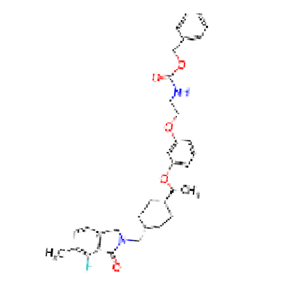 Cc1ccc2c(c1F)C(=O)N(C[C@H]1CC[C@H](C(C)Oc3cccc(OCCNC(=O)OCc4ccccc4)c3)CC1)C2